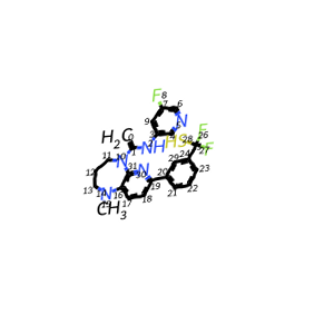 C=C(Nc1cncc(F)c1)N1CCCN(C)c2ccc(-c3cccc(C(F)(F)S)c3)nc21